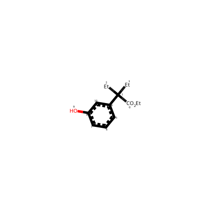 CCOC(=O)C(CC)(CC)c1cccc(O)c1